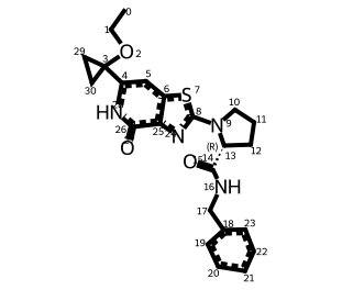 CCOC1(c2cc3sc(N4CCC[C@@H]4C(=O)NCc4ccccc4)nc3c(=O)[nH]2)CC1